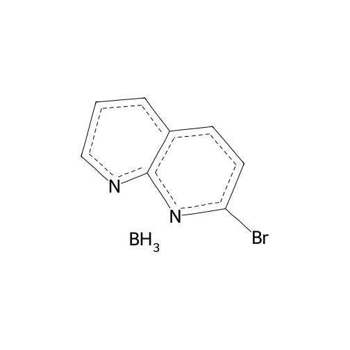 B.Brc1ccc2cccnc2n1